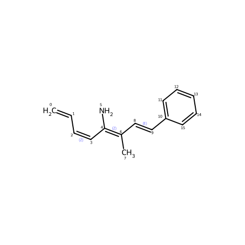 C=C\C=C/C(N)=C(C)/C=C/c1ccccc1